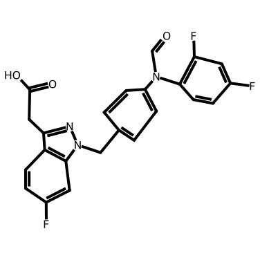 O=CN(c1ccc(Cn2nc(CC(=O)O)c3ccc(F)cc32)cc1)c1ccc(F)cc1F